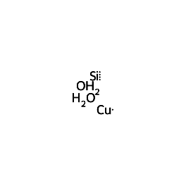 O.O.[Cu].[Si]